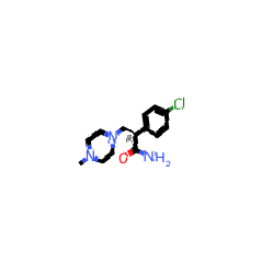 CN1CCN(C[C@H](C(N)=O)c2ccc(Cl)cc2)CC1